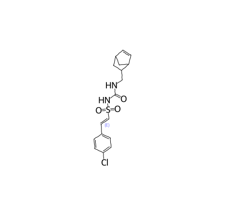 O=C(NCC1CC2C=CC1C2)NS(=O)(=O)/C=C/c1ccc(Cl)cc1